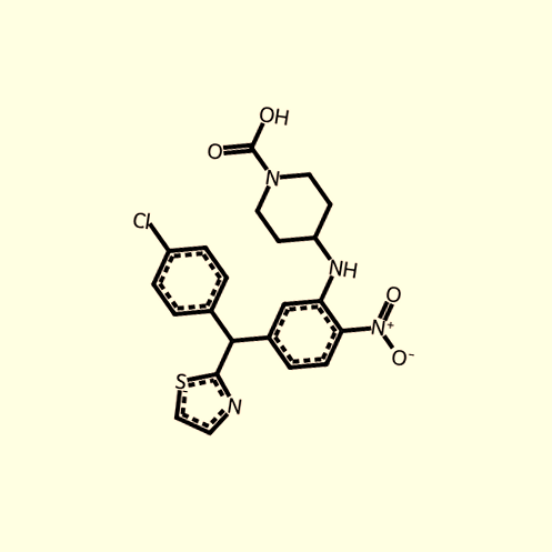 O=C(O)N1CCC(Nc2cc(C(c3ccc(Cl)cc3)c3nccs3)ccc2[N+](=O)[O-])CC1